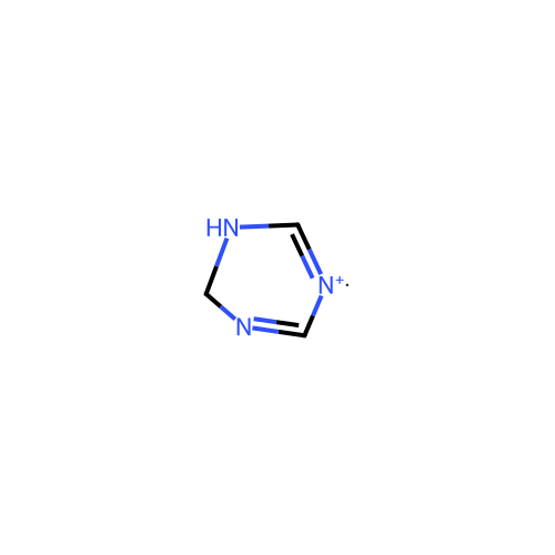 C1=NCNC=[N+]1